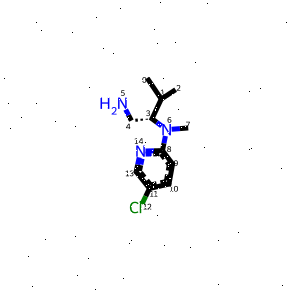 CC(C)[C@@H](CN)N(C)c1ccc(Cl)cn1